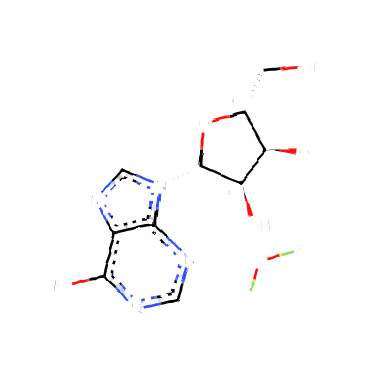 FOF.OC[C@H]1O[C@@H](n2cnc3c(O)ncnc32)[C@H](O)[C@@H]1O